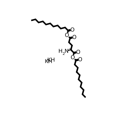 CCCCCCCCCCC(=O)OC(=O)CC[C@H](N)C(=O)OC(=O)CCCCCCCCCC.[KH].[KH]